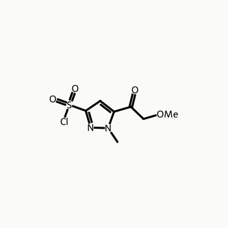 COCC(=O)c1cc(S(=O)(=O)Cl)nn1C